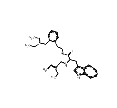 CCC(CC)CNC(Cc1c[nH]c2ccccc12)C(=O)NCCc1ccccc1CN(CC)CC